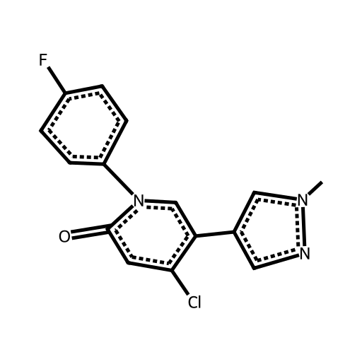 Cn1cc(-c2cn(-c3ccc(F)cc3)c(=O)cc2Cl)cn1